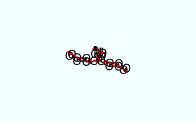 C=CC(=O)OCCCOC(=O)C1CCC(C(=O)OC2CCC(COc3ccc(OCC4CCC(OC(=O)C5CCC(C(=O)OCCCOC(=O)C=C)CC5)CC4)c4c3SC(=C3C(=O)N(c5ccccc5)N=C3C(=O)OCC)S4)CC2)CC1